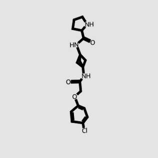 O=C(COc1ccc(Cl)cc1)NC12CC(NC(=O)C3CCCN3)(C1)C2